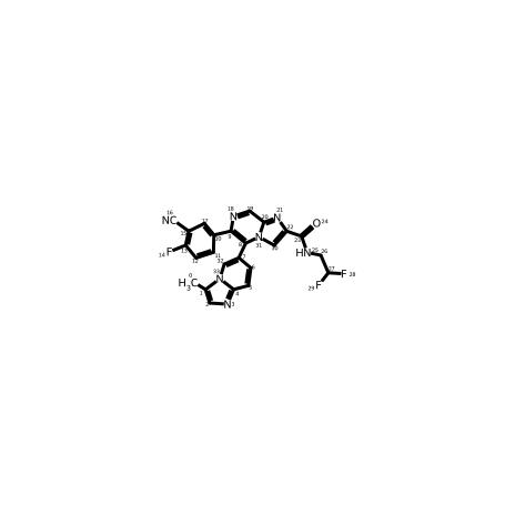 Cc1cnc2ccc(-c3c(-c4ccc(F)c(C#N)c4)ncc4nc(C(=O)NCC(F)F)cn34)cn12